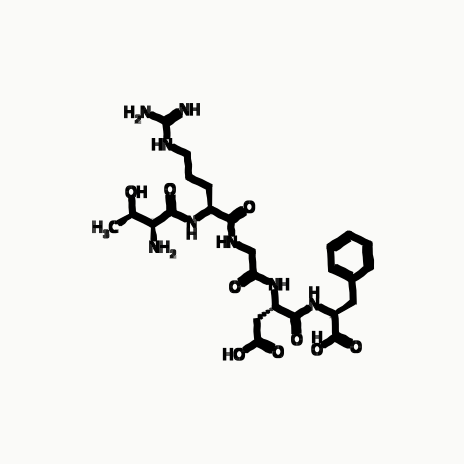 C[C@@H](O)[C@H](N)C(=O)N[C@@H](CCCNC(=N)N)C(=O)NCC(=O)N[C@@H](CC(=O)O)C(=O)N[C@@H](Cc1ccccc1)C(=O)O